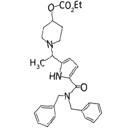 CCOC(=O)OC1CCN(C(C)c2ccc(C(=O)N(Cc3ccccc3)Cc3ccccc3)[nH]2)CC1